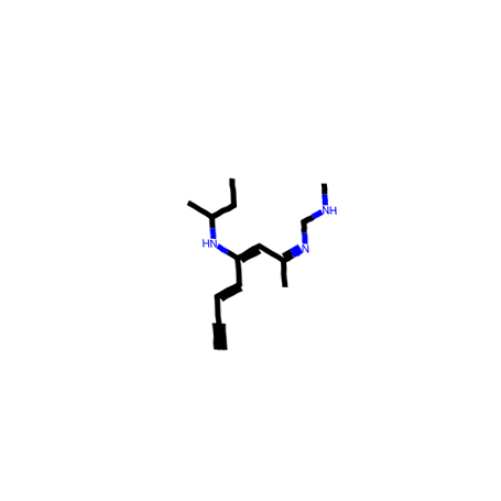 C#C/C=C/C(=C\C(C)=N/CNC)NC(C)CC